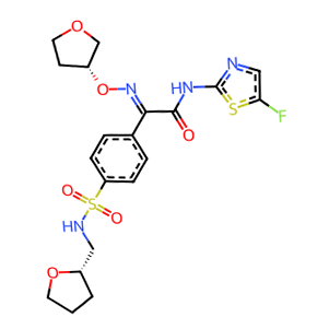 O=C(Nc1ncc(F)s1)/C(=N/O[C@@H]1CCOC1)c1ccc(S(=O)(=O)NC[C@@H]2CCCO2)cc1